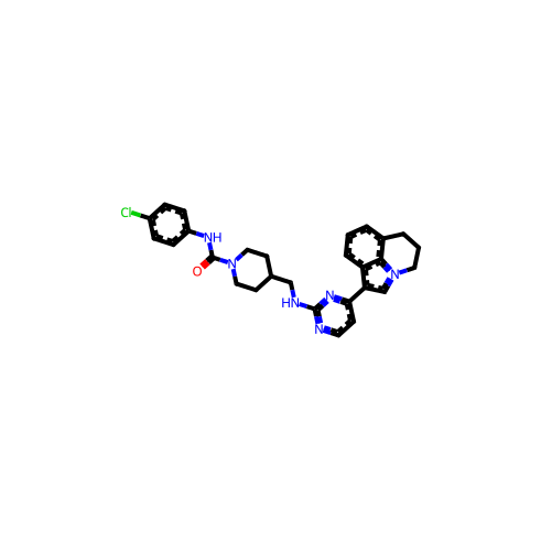 O=C(Nc1ccc(Cl)cc1)N1CCC(CNc2nccc(-c3cn4c5c(cccc35)CCC4)n2)CC1